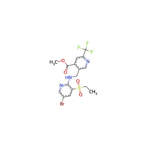 CCS(=O)(=O)c1cc(Br)cnc1NCc1cnc(C(F)(F)F)cc1C(=O)OC